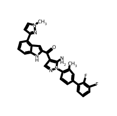 Cc1cc(-c2cccc(F)c2F)ccc1-n1ncc(C(=O)c2cc3c(-c4ccn(C)n4)cccc3[nH]2)c1N